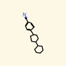 N#Cc1ccc(C2CCC(C3CCCCC3)CC2)cc1